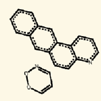 C1=COON=C1.c1ccc2cc3c(ccc4ncccc43)cc2c1